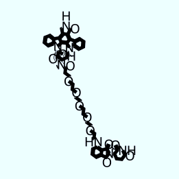 CO[C@@H]1[C@H](N(C)C(=O)CCOCCOCCOCCOCCOCCNc2cccc3c2C(=O)N(C2CCC(=O)NC2=O)C3=O)C[C@H]2O[C@]1(C)n1c3ccccc3c3c4c(c5c6ccccc6n2c5c31)C(=O)NC4